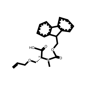 C=CCOC[C@H](C(=O)O)N(C)C(=O)OCC1c2ccccc2-c2ccccc21